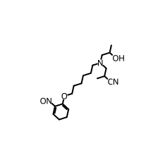 CC(O)CN(CCCCCCOC1=CCCC=C1N=O)CC(C)C#N